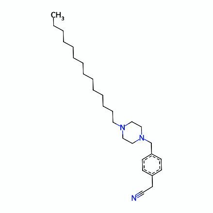 CCCCCCCCCCCCCCN1CCN(Cc2ccc(CC#N)cc2)CC1